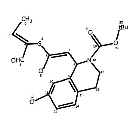 C/C=C(/C=O)S/C(Cl)=C/C1c2cc(Cl)ccc2CCN1C(=O)OC(C)(C)C